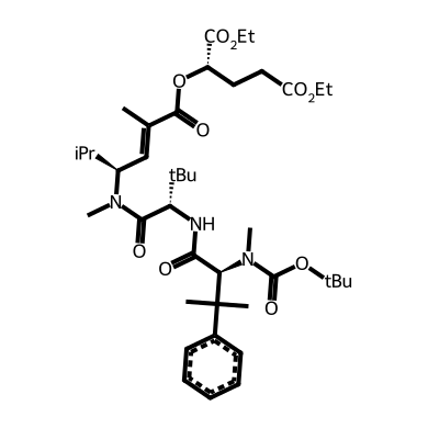 CCOC(=O)CC[C@H](OC(=O)/C(C)=C/[C@H](C(C)C)N(C)C(=O)[C@@H](NC(=O)[C@@H](N(C)C(=O)OC(C)(C)C)C(C)(C)c1ccccc1)C(C)(C)C)C(=O)OCC